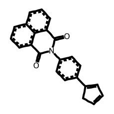 O=C1c2cccc3cccc(c23)C(=O)N1c1ccc(C2=CC=CC2)cc1